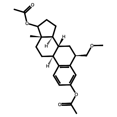 COC[C@@H]1C[C@@H]2[C@H](CC[C@]3(C)C(OC(C)=O)CC[C@@H]23)c2ccc(OC(C)=O)cc21